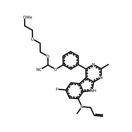 C=CCN(C)c1cc(F)cc2c1[nH]c1nc(C)nc(-c3cccc(OC(C#N)OCCOCCOC)c3)c12